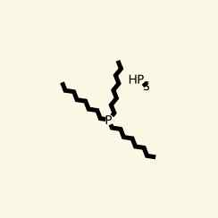 CCCCCCCCP(CCCCCCCC)CCCCCCCC.P=S